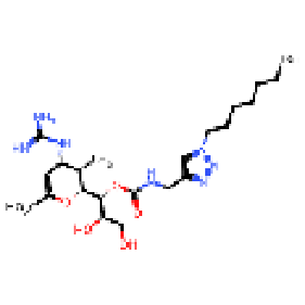 C[C@H]1[C@H]([C@H](OC(=O)NCc2cn(CCCCCCC(C)(C)C)nn2)[C@H](O)CO)OC(C(=O)O)=C[C@@H]1NC(=N)N